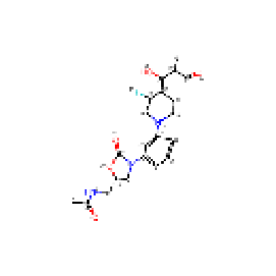 CC(=O)NC[C@H]1CN(c2cccc(N3CCC(C(O)C(C)C=O)C(F)C3)c2)C(=O)O1